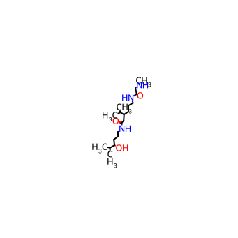 CNCC(=O)NCCCC(CC(=O)NCCCC(O)C(C)C)C(C)C